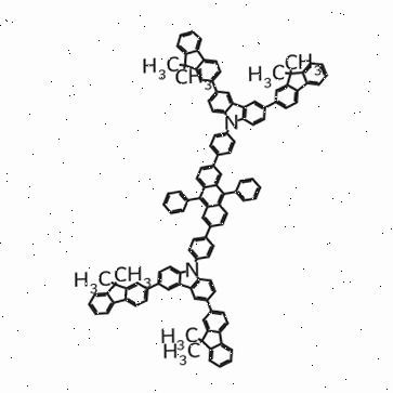 CC1(C)c2ccccc2-c2ccc(-c3ccc4c(c3)c3cc(-c5ccc6c(c5)C(C)(C)c5ccccc5-6)ccc3n4-c3ccc(-c4ccc5c(-c6ccccc6)c6cc(-c7ccc(-n8c9ccc(-c%10ccc%11c(c%10)C(C)(C)c%10ccccc%10-%11)cc9c9cc(-c%10ccc%11c(c%10)C(C)(C)c%10ccccc%10-%11)ccc98)cc7)ccc6c(-c6ccccc6)c5c4)cc3)cc21